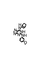 COc1cccc(Nc2nc3ncnc-3c(NC3CC4CCC3C4)[nH]2)c1